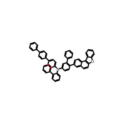 c1ccc(-c2ccc(-c3ccc(N(c4ccc(-c5ccc6c(ccc7oc8ccccc8c76)c5)c(-c5ccccc5)c4)c4ccccc4-c4ccccc4)cc3)cc2)cc1